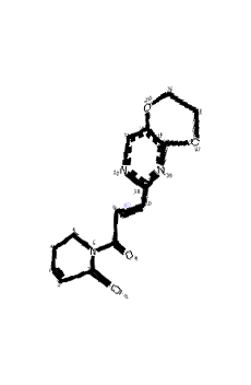 O=C1C=CCCN1C(=O)/C=C/c1ncc2c(n1)OCCO2